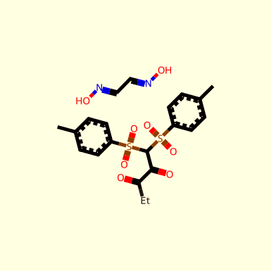 CCC(=O)C(=O)C(S(=O)(=O)c1ccc(C)cc1)S(=O)(=O)c1ccc(C)cc1.ON=CC=NO